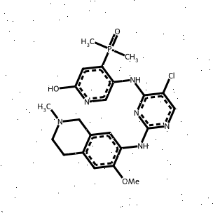 COc1cc2c(cc1Nc1ncc(Cl)c(Nc3cnc(O)cc3P(C)(C)=O)n1)CN(C)CC2